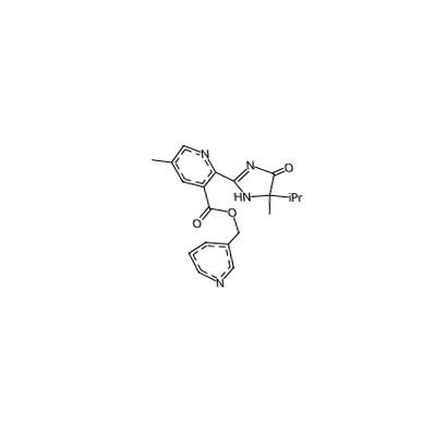 Cc1cnc(C2=NC(=O)C(C)(C(C)C)N2)c(C(=O)OCc2cccnc2)c1